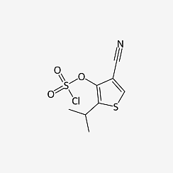 CC(C)c1scc(C#N)c1OS(=O)(=O)Cl